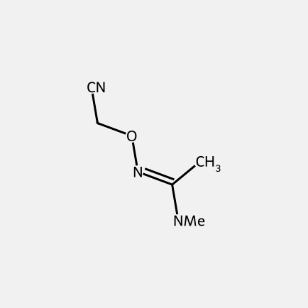 CNC(C)=NOCC#N